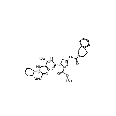 CNC(=O)[C@@H](NC(=O)[C@@H](NC(=O)[C@@H]1C[C@H](OC(=O)N2CCc3ccccc3C2)CN1C(=O)OC(C)(C)C)C(C)(C)C)C1CCCCC1